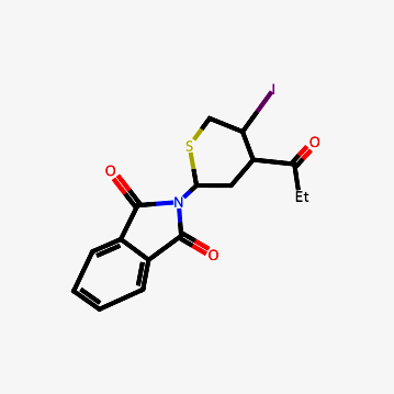 CCC(=O)C1CC(N2C(=O)c3ccccc3C2=O)SCC1I